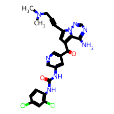 CN(C)CC#Cc1cc(C(=O)c2cncc(NC(=O)Nc3ccc(Cl)cc3Cl)c2)c2c(N)ncnn12